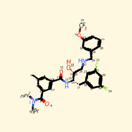 CCCN(CCC)C(=O)c1cc(C)cc(C(=O)N[C@@H](Cc2cc(F)cc(F)c2)[C@H](O)CNCc2cccc(OC(F)(F)F)c2)c1